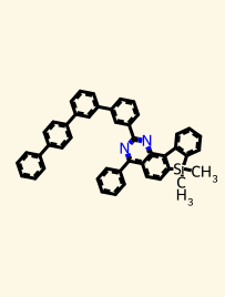 C[Si]1(C)c2ccccc2-c2c1ccc1c(-c3ccccc3)nc(-c3cccc(-c4cccc(-c5ccc(-c6ccccc6)cc5)c4)c3)nc21